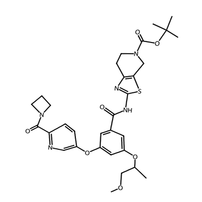 COCC(C)Oc1cc(Oc2ccc(C(=O)N3CCC3)nc2)cc(C(=O)Nc2nc3c(s2)CN(C(=O)OC(C)(C)C)CC3)c1